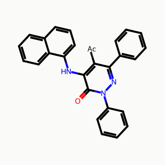 CC(=O)c1c(-c2ccccc2)nn(-c2ccccc2)c(=O)c1Nc1cccc2ccccc12